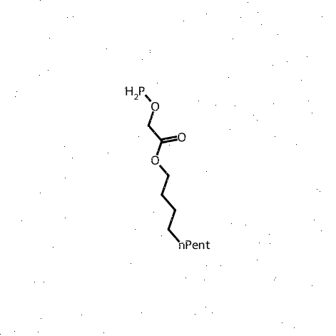 CCCCCCCCCOC(=O)COP